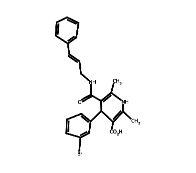 CC1=C(C(=O)O)C(c2cccc(Br)c2)C(C(=O)NCC=Cc2ccccc2)=C(C)N1